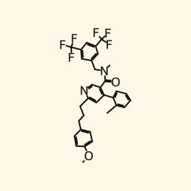 COc1ccc(CCCc2cc(-c3ccccc3C)c(C(=O)N(C)Cc3cc(C(F)(F)F)cc(C(F)(F)F)c3)cn2)cc1